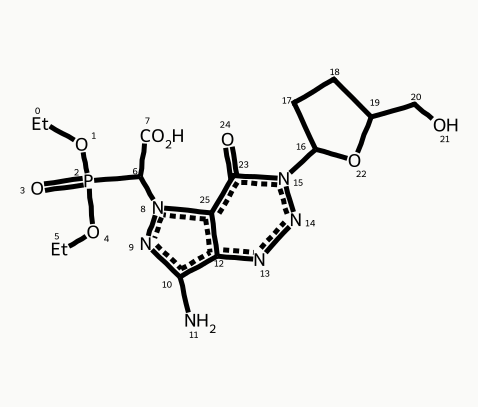 CCOP(=O)(OCC)C(C(=O)O)n1nc(N)c2nnn(C3CCC(CO)O3)c(=O)c21